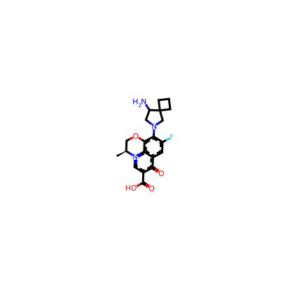 C[C@H]1COc2c(N3CC(N)C4(CCC4)C3)c(F)cc3c(=O)c(C(=O)O)cn1c23